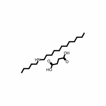 CCCCCCCCCCCCNCCCCC.O=C(O)CCC(=O)O